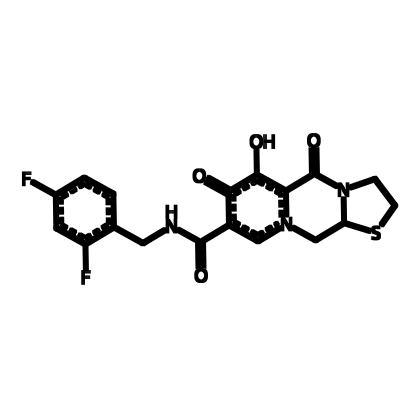 O=C(NCc1ccc(F)cc1F)c1cn2c(c(O)c1=O)C(=O)N1CCSC1C2